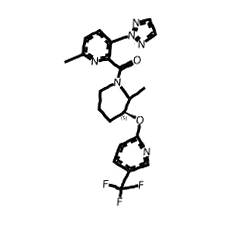 Cc1ccc(-n2nccn2)c(C(=O)N2CCC[C@H](Oc3ccc(C(F)(F)F)cn3)C2C)n1